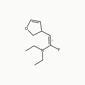 CCN(CC)/C(F)=C\C1C=COC1